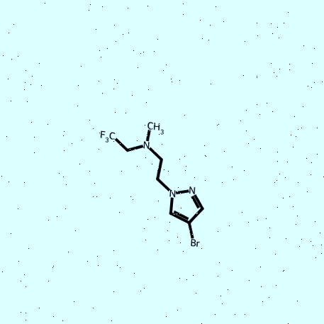 CN(CCn1cc(Br)cn1)CC(F)(F)F